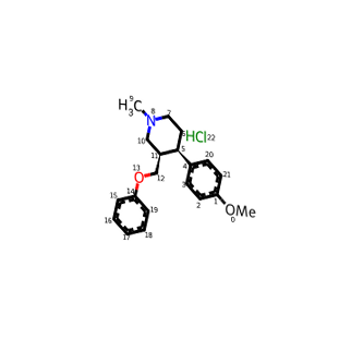 COc1ccc([C@@H]2CCN(C)C[C@@H]2COc2ccccc2)cc1.Cl